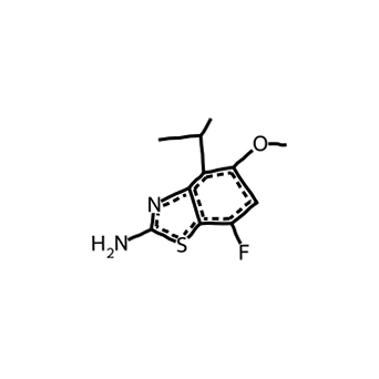 COc1cc(F)c2sc(N)nc2c1C(C)C